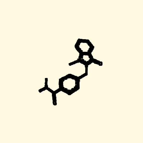 CN(C)C(=O)c1ccc(Cn2c(=O)c3ccccc3n2C)cc1